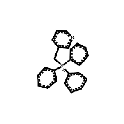 c1ccc([PH](Cc2cccnc2)(c2ccccc2)c2ccccc2)cc1